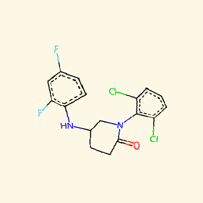 O=C1CCC(Nc2ccc(F)cc2F)CN1c1c(Cl)cccc1Cl